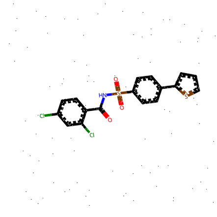 O=C(NS(=O)(=O)c1ccc(-c2cccs2)cc1)c1ccc(Cl)cc1Cl